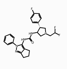 O=C(Nc1c2c(nn1-c1ccccc1)CCC2)NC1CN(CC(F)F)C[C@H]1c1ccc(F)cc1